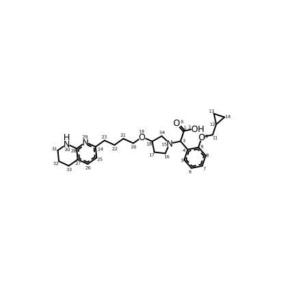 O=C(O)C(c1ccccc1OCC1CC1)N1CCC(OCCCCc2ccc3c(n2)NCCC3)C1